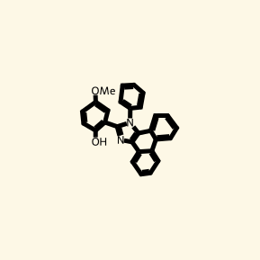 COc1ccc(O)c(-c2nc3c4ccccc4c4ccccc4c3n2-c2ccccc2)c1